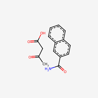 CC(=O)CC(=O)O.NC(=O)c1ccc2ccccc2c1